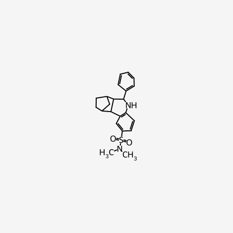 CN(C)S(=O)(=O)c1ccc2c(c1)C1C3CCC(C3)C1C(c1ccccc1)N2